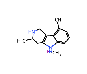 CI.Cc1cccc2[nH]c3c(c12)CNC(C)C3